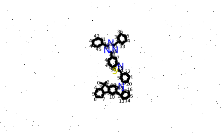 CC1(C)c2ccccc2-c2cc3c4ccccc4n(-c4cccc(-c5nc6cc(-c7nc(-c8ccccc8)nc(-c8ccccc8)n7)ccc6s5)c4)c3cc21